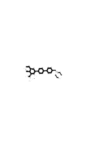 COC(=O)c1c(OC)c(-c2ccc(-c3ccc(CN4CCOCC4)cc3)cc2)cc2ccncc12